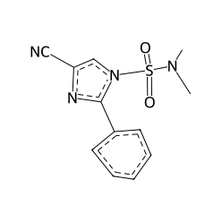 CN(C)S(=O)(=O)n1cc(C#N)nc1-c1ccccc1